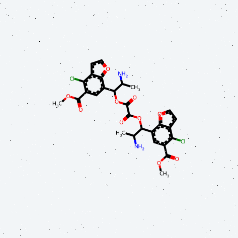 COC(=O)c1cc(C(OC(=O)C(=O)OC(c2cc(C(=O)OC)c(Cl)c3ccoc23)C(C)N)C(C)N)c2occc2c1Cl